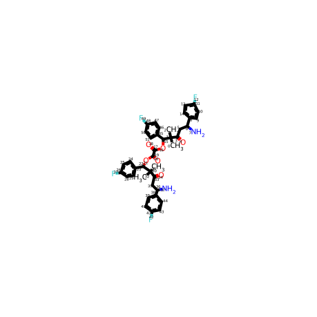 CC(C)(C(=O)CC(N)c1ccc(F)cc1)C(OC(=O)C(=O)OC(c1ccc(F)cc1)C(C)(C)C(=O)CC(N)c1ccc(F)cc1)c1ccc(F)cc1